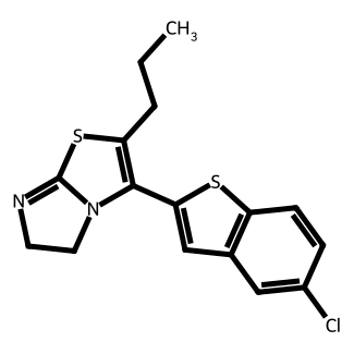 CCCC1=C(c2cc3cc(Cl)ccc3s2)N2CCN=C2S1